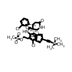 C[Si](C)(C)C#Cc1ccc(OCCOS(C)(=O)=O)c([C@H]2NC(=O)C[C@@H](c3cccc(Cl)c3)[C@]23C(=O)Nc2cc(Cl)ccc23)c1